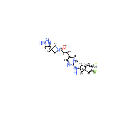 CC1(c2c[nH]nn2)CN(C(=O)/C=C/c2cnc(NC3Cc4cc(F)c(F)cc4C3)nc2)C1